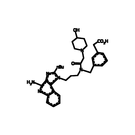 CCCCc1nc2c(N)nc3ccccc3c2n1CCCN(Cc1cccc(CC(=O)O)c1)C(=O)CN1CCC(O)CC1